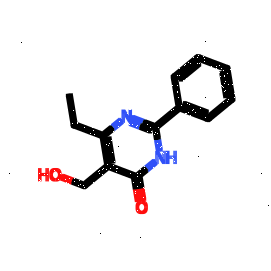 CCc1nc(-c2ccccc2)[nH]c(=O)c1CO